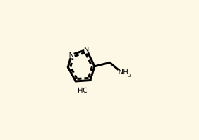 Cl.NCc1cccnn1